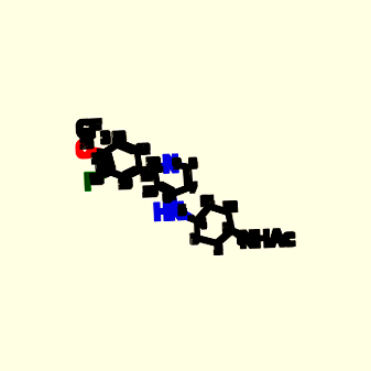 CC(=O)N[C@H]1CC[C@@H](Nc2ccnc(-c3ccc(OC(F)(F)F)c(F)c3)c2)CC1